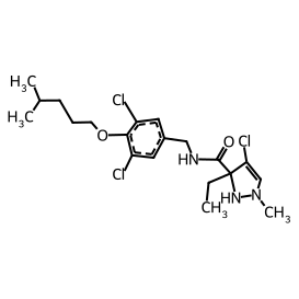 CCC1(C(=O)NCc2cc(Cl)c(OCCCC(C)C)c(Cl)c2)NN(C)C=C1Cl